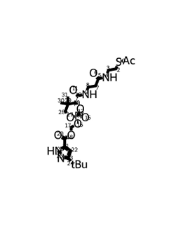 CC(=O)SCCNC(=O)CCNC(=O)[C@@H]1O[P@@](=O)(OCOC(=O)c2cc(C(C)(C)C)n[nH]2)OCC1(C)C